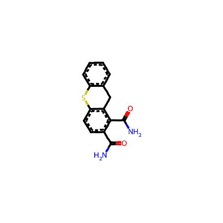 NC(=O)c1ccc2c(c1C(N)=O)Cc1ccccc1S2